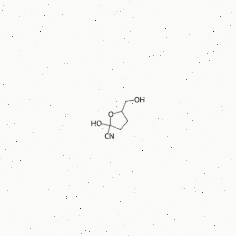 N#CC1(O)CCC(CO)O1